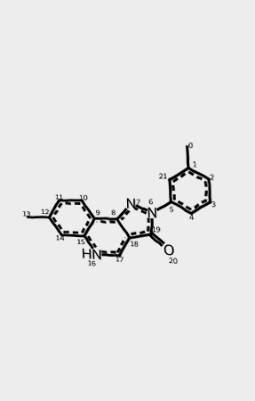 Cc1cccc(-n2nc3c4ccc(C)cc4[nH]cc-3c2=O)c1